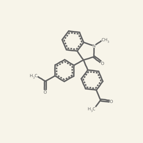 CC(=O)c1ccc(C2(c3ccc(C(C)=O)cc3)C(=O)N(C)c3ccccc32)cc1